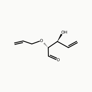 C=CCO[C@@H](C=O)[C@@H](O)C=C